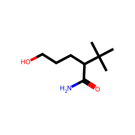 CC(C)(C)C(CCCO)C(N)=O